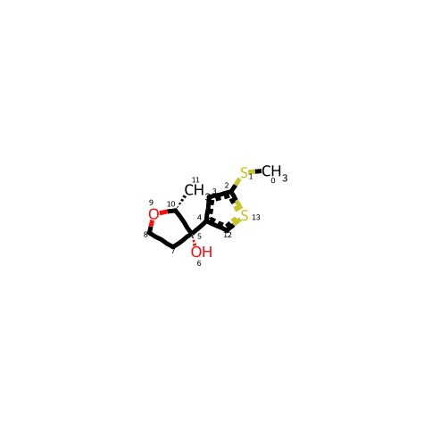 CSc1cc([C@@]2(O)CCO[C@@H]2C)cs1